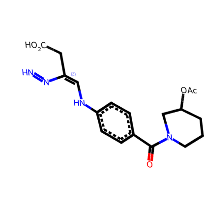 CC(=O)OC1CCCN(C(=O)c2ccc(N/C=C(/CC(=O)O)N=N)cc2)C1